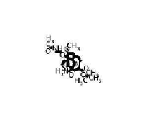 COc1cc2c(cc1OCCNC(C)=O)C1N(CC2)C(C(=O)OC(C)(C)C)=CC1(C(N)=O)c1cccs1